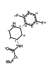 CC(C)(C)OC(=O)N[C@@H]1CCN[C@H](c2cc(F)ccc2F)C1